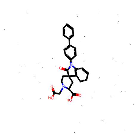 O=C(O)CN1CCC2(CC1C(=O)O)C(=O)N(c1ccc(-c3ccccc3)cc1)C1=C2CCC=C1